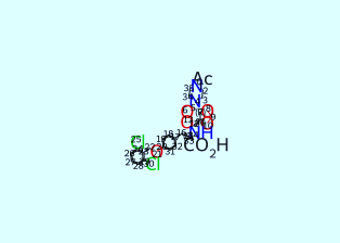 CC(=O)N1CCN(C(=O)[C@@H]2OCO[C@H]2C(=O)N[C@@H](Cc2ccc(OCc3c(Cl)cccc3Cl)cc2)C(=O)O)CC1